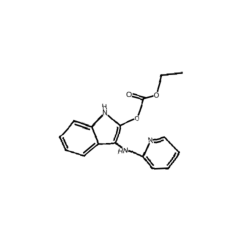 CCOC(=O)Oc1[nH]c2ccccc2c1Nc1ccccn1